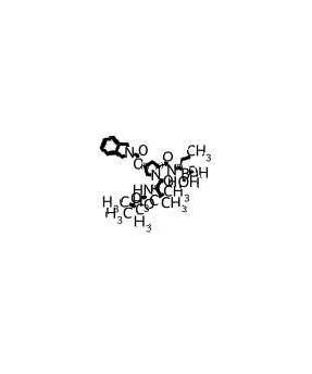 CCC[C@H](NC(=O)[C@@H]1C[C@@H](OC(=O)N2Cc3ccccc3C2)CN1C(=O)[C@@H](NC(=O)OC(C)(C)C)C(C)(C)C)B(O)O